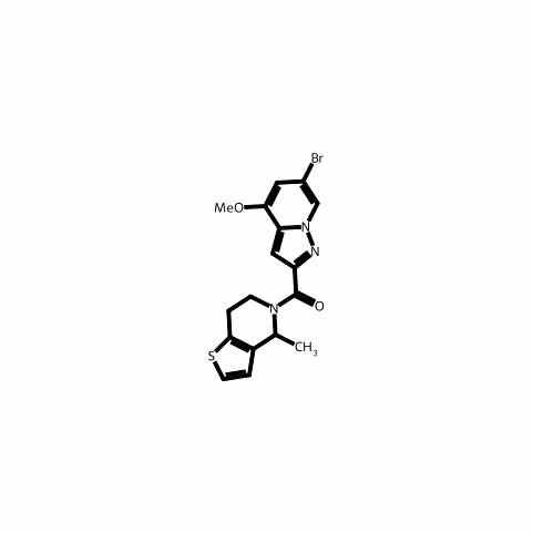 COc1cc(Br)cn2nc(C(=O)N3CCc4sccc4C3C)cc12